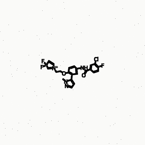 Cn1nccc1-c1cc(NC(=O)c2ccc(F)c(Cl)c2)ccc1OCC[N+]1=CC(F)(F)C=C1